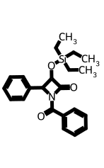 CC[Si](CC)(CC)OC1C(=O)N(C(=O)c2ccccc2)C1c1ccccc1